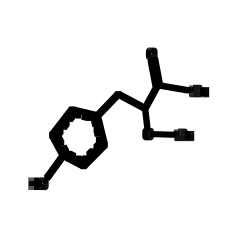 CC(C)(C)OC(Cc1ccc(O)cc1)C(=O)C(C)(C)C